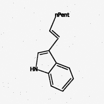 CCCCCC=Cc1c[nH]c2ccccc12